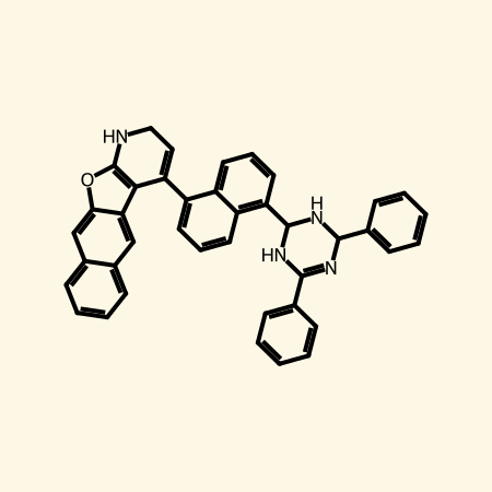 C1=C(c2cccc3c(C4NC(c5ccccc5)=NC(c5ccccc5)N4)cccc23)c2c(oc3cc4ccccc4cc23)NC1